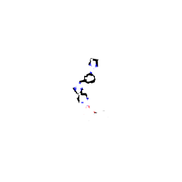 O=C(OC(C(F)(F)F)C(F)(F)F)N1CCC2(CCN(Cc3cccc(N4CCCC4)c3)C2)CC1